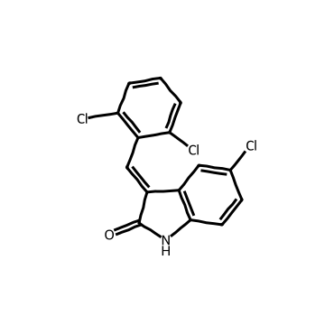 O=C1Nc2ccc(Cl)cc2C1=Cc1c(Cl)cccc1Cl